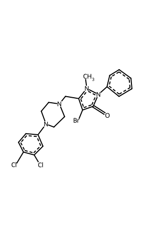 Cn1c(CN2CCN(c3ccc(Cl)c(Cl)c3)CC2)c(Br)c(=O)n1-c1ccccc1